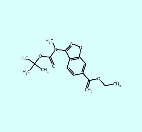 C=C(OCC)c1ccc2c(N(C)C(=O)OC(C)(C)C)noc2c1